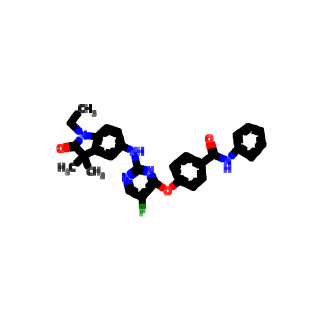 CCN1C(=O)C(C)(C)c2cc(Nc3ncc(F)c(Oc4ccc(C(=O)Nc5ccccc5)cc4)n3)ccc21